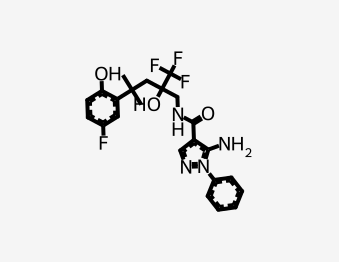 CC(C)(CC(O)(CNC(=O)c1cnn(-c2ccccc2)c1N)C(F)(F)F)c1cc(F)ccc1O